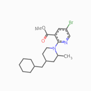 COC(=O)c1cc(Br)cnc1N1CCC(CC2CCCCC2)CC1C